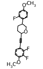 COc1ccc(C2CCC(C#Cc3ccc(OC)c(F)c3F)OC2)c(F)c1